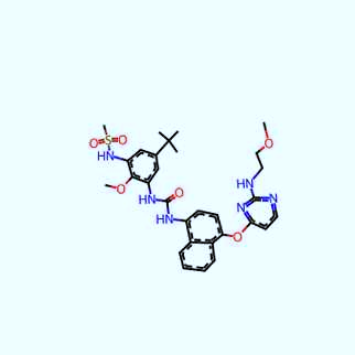 COCCNc1nccc(Oc2ccc(NC(=O)Nc3cc(C(C)(C)C)cc(NS(C)(=O)=O)c3OC)c3ccccc23)n1